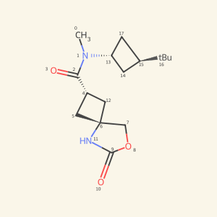 CN(C(=O)[C@H]1C[C@]2(COC(=O)N2)C1)[C@H]1C[C@H](C(C)(C)C)C1